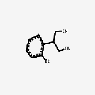 CCc1ccccc1C(CC#N)CC#N